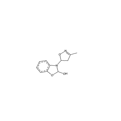 CC1=NOC(N2c3ccccc3OC2O)C1